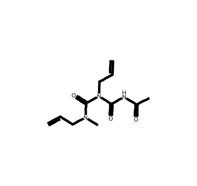 C=CCN(C)C(=O)N(CC=C)C(=O)NC(C)=O